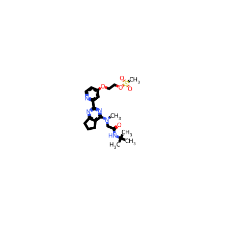 CN(CC(=O)NC(C)(C)C)c1nc(-c2cc(OCCOS(C)(=O)=O)ccn2)nc2c1CCC2